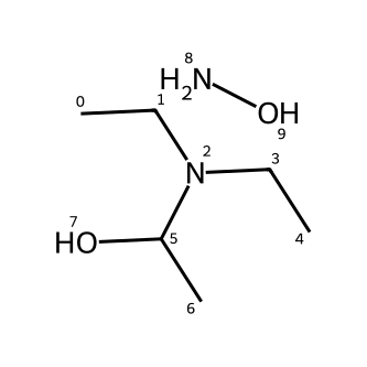 CCN(CC)C(C)O.NO